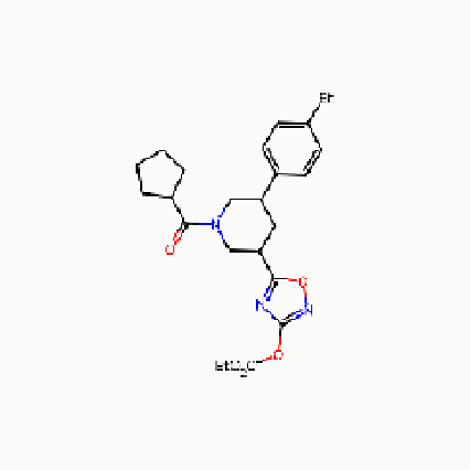 CCOC(=O)Oc1noc(C2CC(c3ccc(CC)cc3)CN(C(=O)C3CCCC3)C2)n1